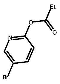 CCC(=O)Oc1ccc(Br)cn1